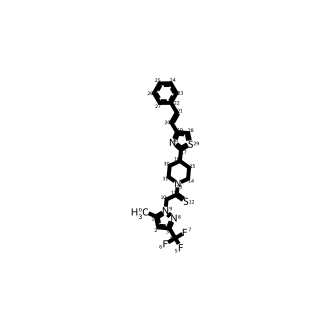 Cc1cc(C(F)(F)F)nn1CC(=S)N1CCC(c2nc(C=Cc3ccccc3)cs2)CC1